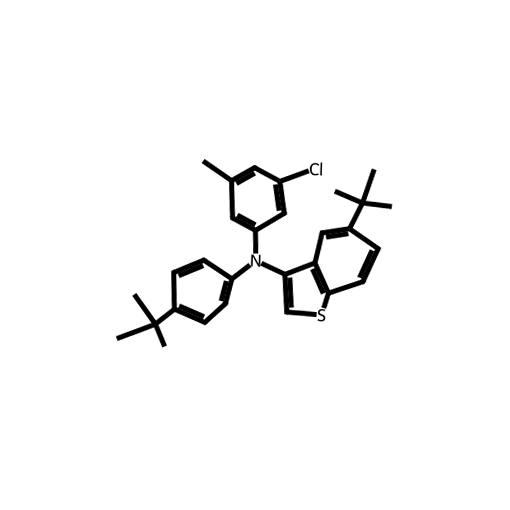 Cc1cc(Cl)cc(N(c2ccc(C(C)(C)C)cc2)c2csc3ccc(C(C)(C)C)cc23)c1